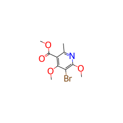 COC(=O)c1c(C)nc(OC)c(Br)c1OC